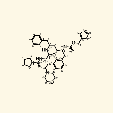 O=C(N[C@H](CC[C@H](Cc1ccccc1)NC(=O)[C@H](CCN1CCOCC1)NC(=O)N1CCCC1)Cc1ccccc1)OCc1cncs1